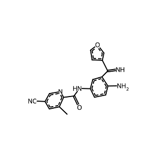 Cc1cc(C#N)cnc1C(=O)Nc1ccc(N)c(C(=N)c2ccoc2)c1